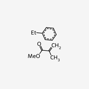 C=C(C)C(=O)OC.CCc1ccccc1